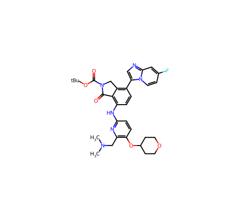 CN(C)Cc1nc(Nc2ccc(-c3cnc4cc(F)ccn34)c3c2C(=O)N(C(=O)OC(C)(C)C)C3)ccc1OC1CCOCC1